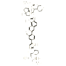 CC[C@H](C)[C@H](NCOC)C(=O)N1[C@@H](C)CC[C@H]1c1ncc(-c2ccc3c(c2)COc2cc4c(ccc5nc([C@@H]6C[C@@H]7CCC[C@@H]7N6C(=O)[C@@H](NC(=O)OC)C6CCOCC6)[nH]c54)cc2-3)[nH]1